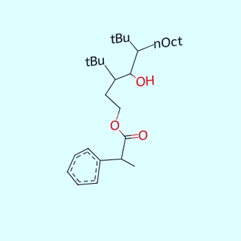 CCCCCCCCC(C(O)C(CCOC(=O)C(C)c1ccccc1)C(C)(C)C)C(C)(C)C